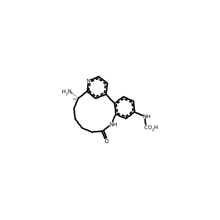 N[C@H]1CCCCC(=O)Nc2cc(NC(=O)O)ccc2-c2ccnc1c2